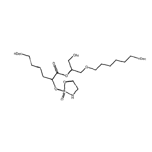 CCCCCCCCCCCCCCCCOCC(CO)OC(=O)C(CCCCCCCCCCCCCC)OP1(=O)NCCO1